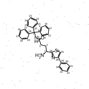 N[C@@H](CCC(=O)NC(c1ccccc1)(c1ccccc1)c1ccccc1)c1nc(-c2ccccc2)cs1